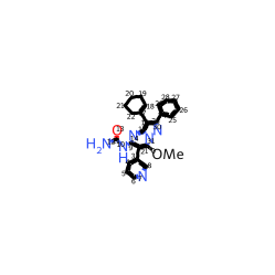 COc1c(-c2cccnc2)c(NC(N)=O)nc2c(C3=CCCCC3)c(-c3ccccc3)nn12